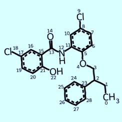 CCC(COc1ccc(Cl)cc1NC(=O)c1cc(Cl)ccc1O)c1ccccc1